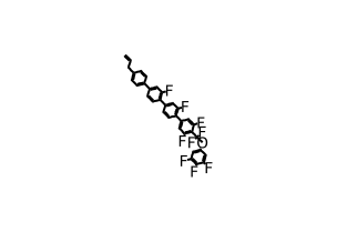 C=CCc1ccc(-c2ccc(-c3ccc(-c4cc(F)c(C(F)(F)Oc5cc(F)c(F)c(F)c5)c(F)c4)c(F)c3)c(F)c2)cc1